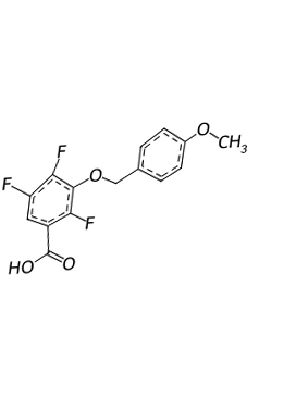 COc1ccc(COc2c(F)c(F)cc(C(=O)O)c2F)cc1